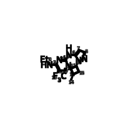 CCNc1nc(Nc2ccnn2[C@H]2C[C@H](C)C2)ncc1C(F)(F)F